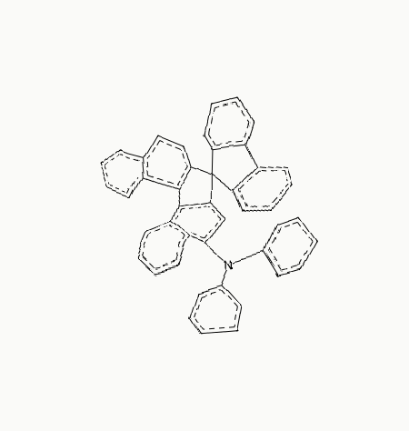 c1ccc(N(c2ccccc2)c2cc3c(c4ccccc24)-c2c(ccc4ccccc24)C32c3ccccc3-c3ccccc32)cc1